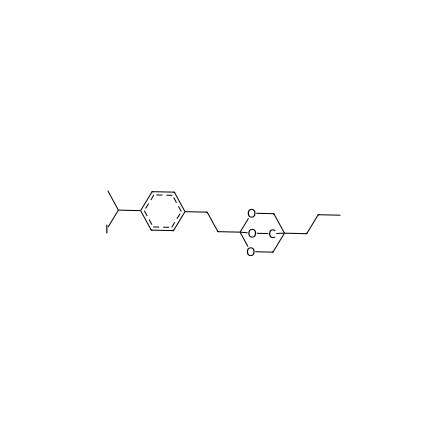 CCCC12COC(CCc3ccc(C(C)I)cc3)(OC1)OC2